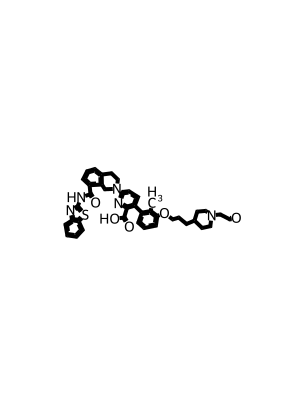 Cc1c(OCCCC2CCN(CC=O)CC2)cccc1-c1ccc(N2CCc3cccc(C(=O)Nc4nc5ccccc5s4)c3C2)nc1C(=O)O